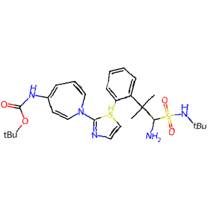 CC(C)(C)NS(=O)(=O)C(N)C(C)(C)c1ccccc1[SH]1C=CN=C1N1C=CC=C(NC(=O)OC(C)(C)C)C=C1